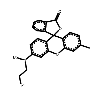 CCN(CCC(C)C)c1ccc2c(c1)Oc1cc(C)ccc1C21OC(=O)c2ccccc21